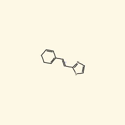 [CH]1C=CC(/C=C/c2nccs2)=CC1